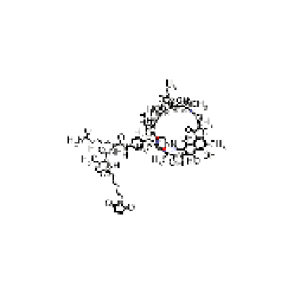 CO[C@H]1/C=C/O[C@@]2(C)Oc3c(C)c(O)c4c(O)c(c(/C=N/N5CC[N+](C)(Cc6ccc(NC(=O)[C@H](CCCNC(N)=O)NC(=O)[C@@H](NC(=O)CCCCCN7C(=O)C=CC7=O)C(C)C)cc6)CC5)c(O)c4c3C2=O)NC(=O)/C(C)=C\C=C\[C@H](C)[C@H](O)[C@@H](C)[C@@H](O)[C@@H](C)[C@H](OC(C)=O)[C@@H]1C